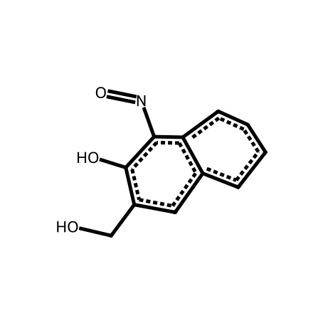 O=Nc1c(O)c(CO)cc2ccccc12